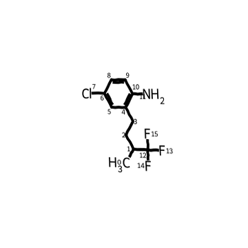 CC(CCc1cc(Cl)ccc1N)C(F)(F)F